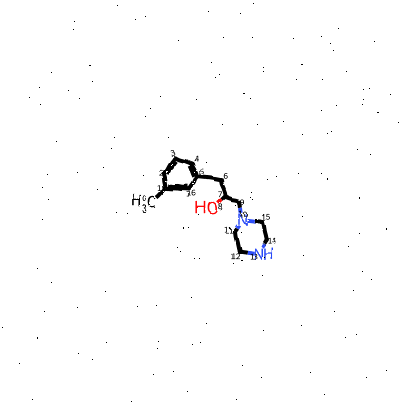 Cc1cccc(CC(O)CN2CCNCC2)c1